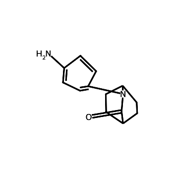 Nc1ccc(N2C(=O)C3CCC2CC3)cc1